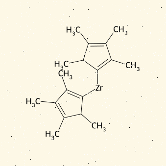 CC1=C(C)C(C)[C]([Zr][C]2=C(C)C(C)=C(C)C2C)=C1C